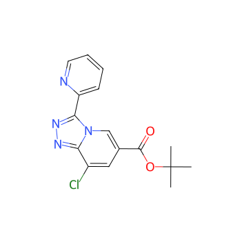 CC(C)(C)OC(=O)c1cc(Cl)c2nnc(-c3ccccn3)n2c1